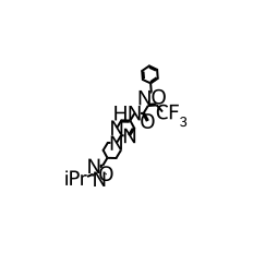 CC(C)c1noc(C2CCN(c3ncc(NC(=O)c4nc(-c5ccccc5)oc4C(F)(F)F)cn3)CC2)n1